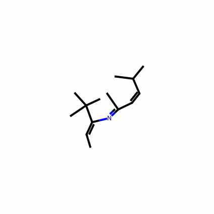 C\C=C(/N=C(C)/C=C\C(C)C)C(C)(C)C